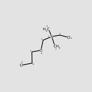 C[Si](C)(CCl)COCCCl